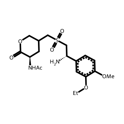 CCOc1cc([C@H](N)CS(=O)(=O)CC2COC(=O)[C@H](NC(C)=O)C2)ccc1OC